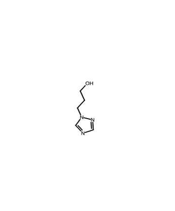 OCCCn1cncn1